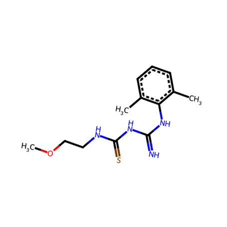 COCCNC(=S)NC(=N)Nc1c(C)cccc1C